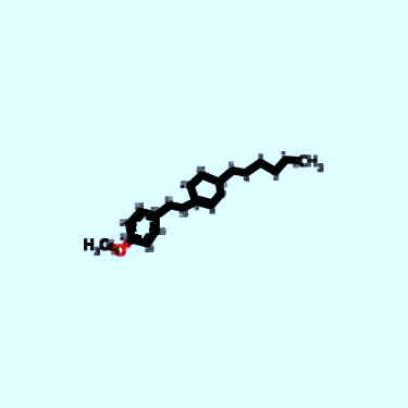 CCCCCCC1CC=C(CCc2ccc(OC)cc2)CC1